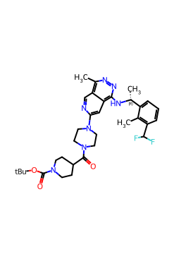 Cc1c(C(F)F)cccc1[C@@H](C)Nc1nnc(C)c2cnc(N3CCN(C(=O)C4CCN(C(=O)OC(C)(C)C)CC4)CC3)cc12